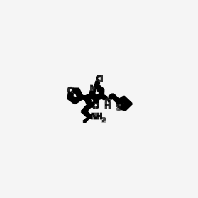 C[C@H](N)Cc1oc2c(NCc3cccs3)cc(Cl)nc2c1-c1ccoc1